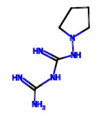 N=C(N)NC(=N)NN1CCCC1